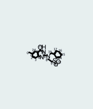 Cc1ccc2nc(N3CCS(=O)(=O)c4ccccc4C3)[nH]c(=O)c2c1